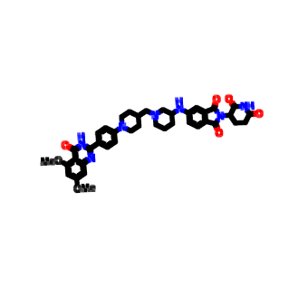 COc1cc(OC)c2c(=O)[nH]c(-c3ccc(N4CCC(CN5CCCC(Nc6ccc7c(c6)C(=O)N(C6CCC(=O)NC6=O)C7=O)C5)CC4)cc3)nc2c1